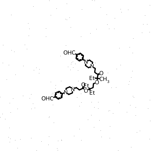 CCC(CC)(CCOC(C)(CC)C(=O)CCN1CCN(c2ccc(C=O)cc2)CC1)OC(=O)CCN1CCN(c2ccc(C=O)cc2)CC1